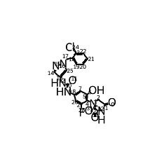 O=C1CN(c2c(O)cc(NC(=O)Nc3cnn(Cc4ccccc4Cl)c3)cc2F)S(=O)(=O)N1